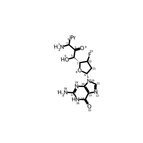 CC(C)C(N)C(=O)C(O)[C@H]1O[C@@H](n2cnc3c(=O)[nH]c(N)nc32)CC1F